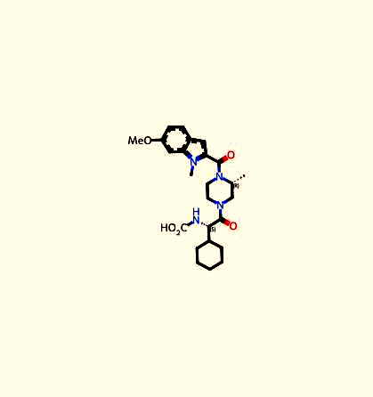 COc1ccc2cc(C(=O)N3CCN(C(=O)[C@@H](NC(=O)O)C4CCCCC4)C[C@H]3C)n(C)c2c1